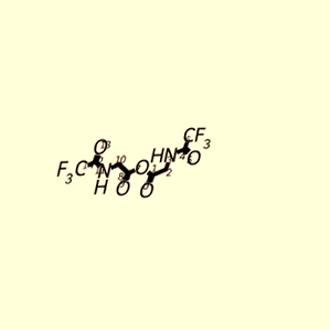 O=C(CNC(=O)C(F)(F)F)OC(=O)CNC(=O)C(F)(F)F